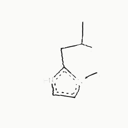 CC(C)Cc1[nH]cc[n+]1C